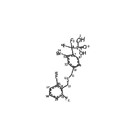 O=P(O)(O)C(F)(F)c1ccc(CSCc2c(F)cccc2F)cc1Br